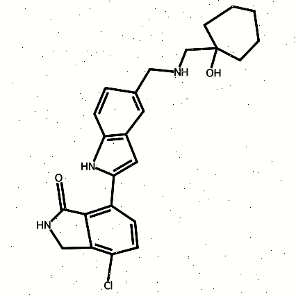 O=C1NCc2c(Cl)ccc(-c3cc4cc(CNCC5(O)CCCCC5)ccc4[nH]3)c21